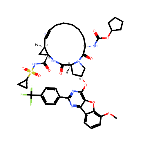 COc1cccc2c1oc1c(O[C@@H]3C[C@H]4C(=O)N[C@]5(C(=O)NS(=O)(=O)C6CC6)C[C@H]5/C=C\CCCCC[C@H](NC(=O)OC5CCCC5)C(=O)N4C3)nc(-c3ccc(C(F)(F)F)cc3)nc12